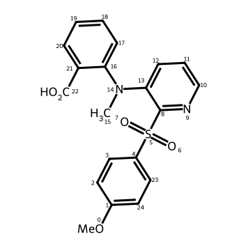 COc1ccc(S(=O)(=O)c2ncccc2N(C)c2ccccc2C(=O)O)cc1